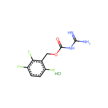 Cl.N=C(N)NC(=O)OCc1c(F)ccc(F)c1F